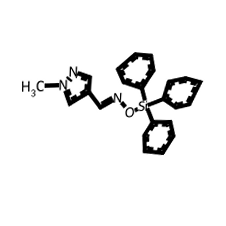 Cn1cc(C=NO[Si](c2ccccc2)(c2ccccc2)c2ccccc2)cn1